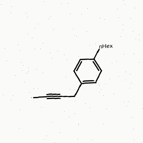 [CH2]C#CCc1ccc(CCCCCC)cc1